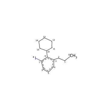 CCCc1cccc(I)c1C1CCCCC1